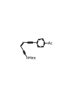 CCCCCCC#C/C=C\C#Cc1ccc(C(C)=O)cc1